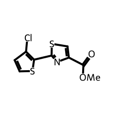 COC(=O)c1csc(-c2sccc2Cl)n1